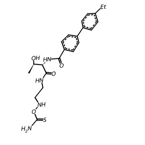 CCc1ccc(-c2ccc(C(=O)N[C@H](C(=O)NCCNOC(N)=S)[C@@H](C)O)cc2)cc1